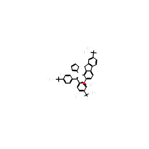 CC(C)(C)c1ccc([C](c2ccc(C(C)(C)C)cc2)=[Hf]([C]2=CC=CC2)[c]2c(C(C)(C)C)ccc3c2Cc2cc(C(C)(C)C)ccc2-3)cc1